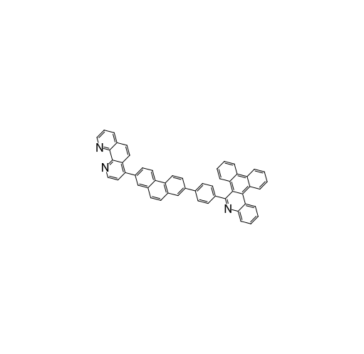 c1cnc2c(c1)ccc1c(-c3ccc4c(ccc5cc(-c6ccc(-c7nc8ccccc8c8c9ccccc9c9ccccc9c78)cc6)ccc54)c3)ccnc12